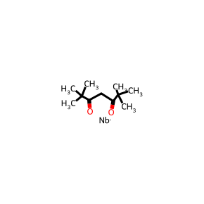 CC(C)(C)C(=O)CC(=O)C(C)(C)C.[Nb]